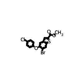 COC(=O)c1cc2cc(Oc3ccc(Cl)cc3)c(Br)cc2s1